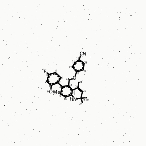 COc1cc(F)ccc1-c1ccc2c(c1COc1ccc(C#N)cc1)C(C)=CC(C)(C)N2